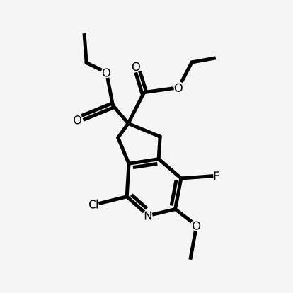 CCOC(=O)C1(C(=O)OCC)Cc2c(Cl)nc(OC)c(F)c2C1